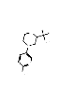 CNC(C)(C)C1CN(c2ccc(SC)nc2)CCO1